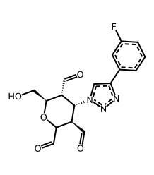 O=CC1O[C@@H](CO)[C@H](C=O)[C@H](n2cc(-c3cccc(F)c3)nn2)[C@H]1C=O